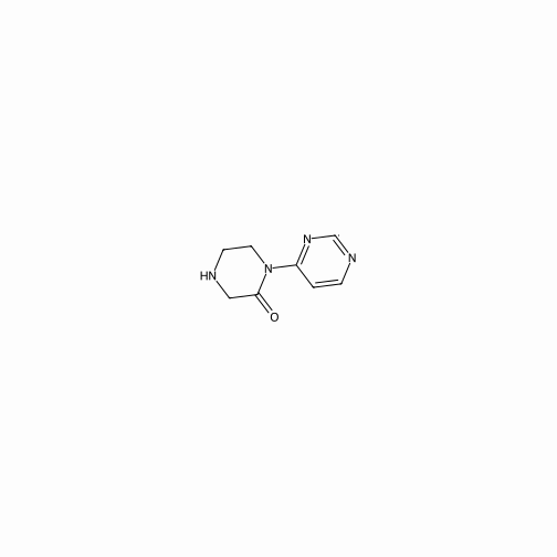 O=C1CNCCN1c1ccn[c]n1